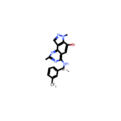 Cc1nc(N[C@H](C)c2cccc(C(F)(F)F)c2)c2cc(Br)c3c(cnn3C)c2n1